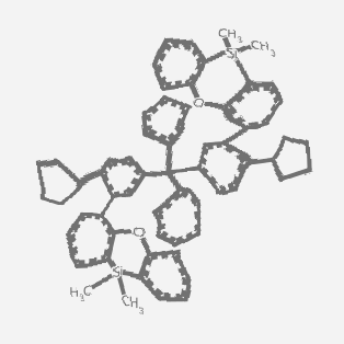 C[Si]1(C)c2ccccc2Oc2c(-c3cc(C(c4ccccc4)(c4ccccc4)c4ccc(C5CCCC5)c(-c5cccc6c5Oc5ccccc5[Si]6(C)C)c4)ccc3C3CCCC3)cccc21